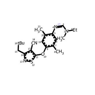 CCN(C)/C=N\c1cc(C)c(Oc2snc(CC(C)(C)C)c2C#N)cc1C